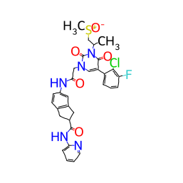 CC(C[S+](C)[O-])n1c(=O)c(-c2cccc(F)c2Cl)cn(CC(=O)Nc2ccc3c(c2)CC(C(=O)Nc2ccccn2)C3)c1=O